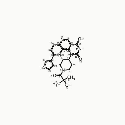 CC(C)(O)C(=O)N1CCC(n2c(=O)[nH]c(=O)c3cnc4ccc(-c5ccsc5)nc4c32)CC1